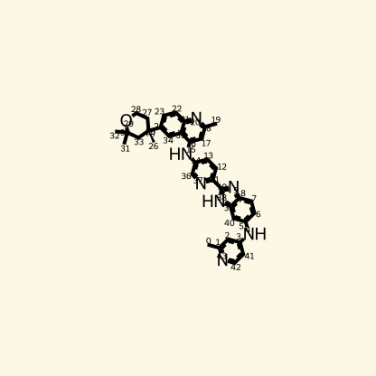 Cc1cc(Nc2ccc3nc(-c4ccc(Nc5cc(C)nc6ccc([C@@]7(C)CCOC(C)(C)C7)cc56)cn4)[nH]c3c2)ccn1